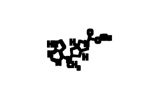 CN(c1ncnc2[nH]ccc12)C1C[C@@H]2CN(C(=O)OC(C)(C)C)C[C@H]2C1